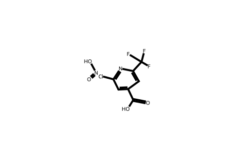 O=C(O)c1cc(Cl)nc(C(F)(F)F)c1.O=NO